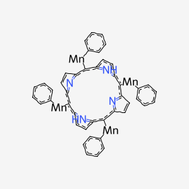 C1=Cc2nc1[c]([Mn][c]1ccccc1)c1ccc([nH]1)[c]([Mn][c]1ccccc1)c1nc([c]([Mn][c]3ccccc3)c3ccc([nH]3)[c]2[Mn][c]2ccccc2)C=C1